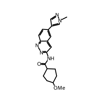 COC1CCC(C(=O)Nc2cc3cc(-c4cnn(C)c4)ccc3nn2)CC1